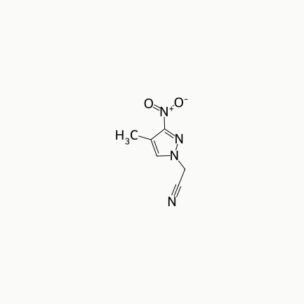 Cc1cn(CC#N)nc1[N+](=O)[O-]